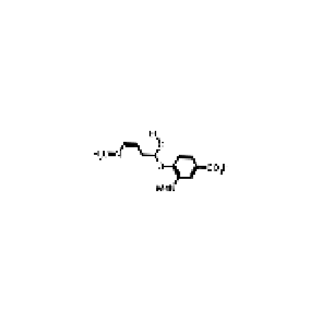 C=N/C=C\CC(OCC)Oc1ccc(C(=O)O)cc1NC